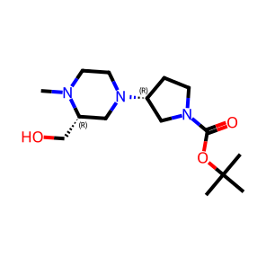 CN1CCN([C@@H]2CCN(C(=O)OC(C)(C)C)C2)C[C@@H]1CO